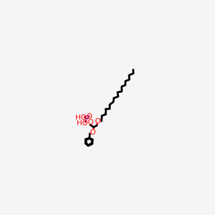 CCCCCCCCCCCCCCCCCCOCC(COP(=O)(O)O)OCc1ccccc1